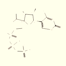 Nc1nc(=O)[nH]cc1[C@H]1O[C@@](COP(=O)(O)OP(=O)(O)OP(=O)(O)O)(C(F)F)[C@@H](O)[C@H]1F